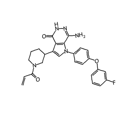 C=CC(=O)N1CCCC(c2cn(-c3ccc(Oc4cccc(F)c4)cc3)c3c(N)n[nH]c(=O)c23)C1